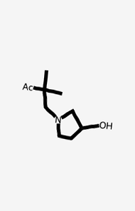 CC(=O)C(C)(C)CN1CCC(O)C1